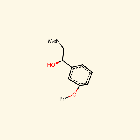 CNC[C@H](O)c1cccc(OC(C)C)c1